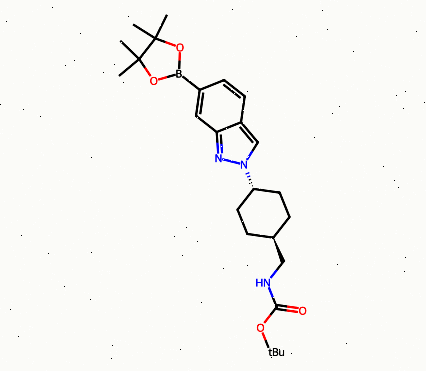 CC(C)(C)OC(=O)NC[C@H]1CC[C@H](n2cc3ccc(B4OC(C)(C)C(C)(C)O4)cc3n2)CC1